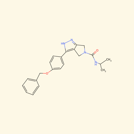 CC(C)NC(=O)N1Cc2n[nH]c(-c3ccc(OCc4ccccc4)cc3)c2C1